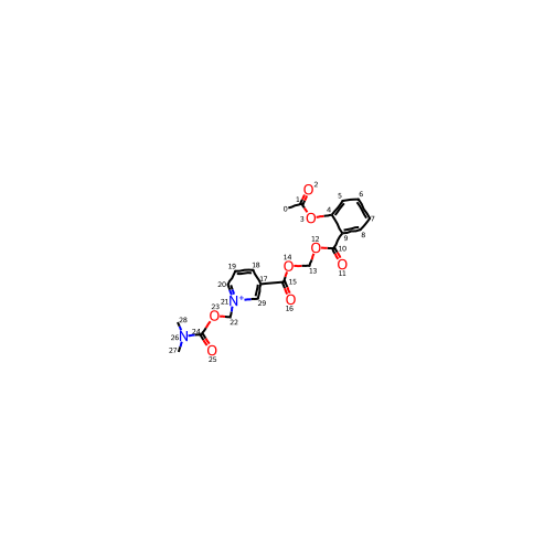 CC(=O)Oc1ccccc1C(=O)OCOC(=O)c1ccc[n+](COC(=O)N(C)C)c1